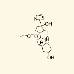 CCOCO[C@]12CC[C@](O)(c3nccs3)[C@@]1(C)CC[C@H]1[C@H]2CC=C2C[C@@H](O)CC[C@@]21C